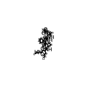 C=CCNC(=O)C(=O)C(CCCC)NC(=O)[C@@H]1CCCN1C(=O)[C@@H](NC(=O)N[C@H](CN(C)S(C)(=O)=O)C(C)(C)C)C1(C)CCCCC1